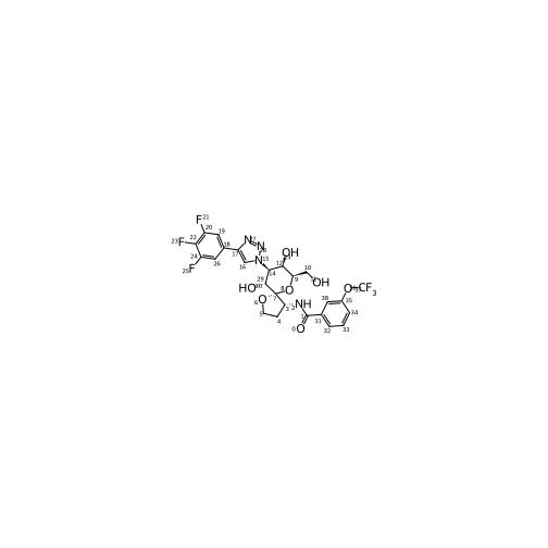 O=C(N[C@@H]1CCO[C@]12O[C@H](CO)[C@H](O)[C@H](n1cc(-c3cc(F)c(F)c(F)c3)nn1)[C@H]2O)c1cccc(OC(F)(F)F)c1